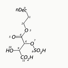 CCCCCCCCCCCCOC(=O)C(OS(=O)(=O)O)C(O)C(=O)O